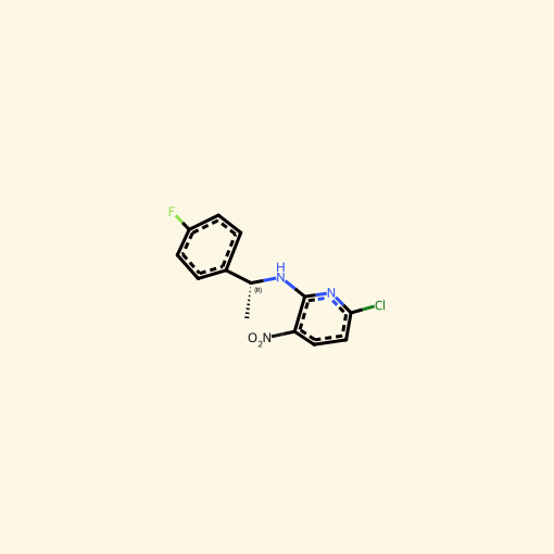 C[C@@H](Nc1nc(Cl)ccc1[N+](=O)[O-])c1ccc(F)cc1